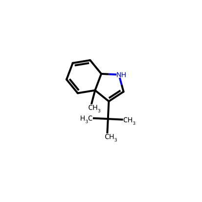 CC(C)(C)C1=CNC2C=CC=CC12C